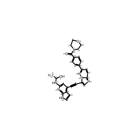 CC(O)Nc1cc(C#Cc2cnc3ccc(-c4ccc(C(=O)N5CCOCC5)cc4)nn23)c2cc[nH]c2n1